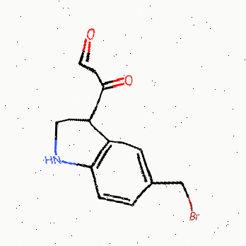 O=CC(=O)C1CNc2ccc(CBr)cc21